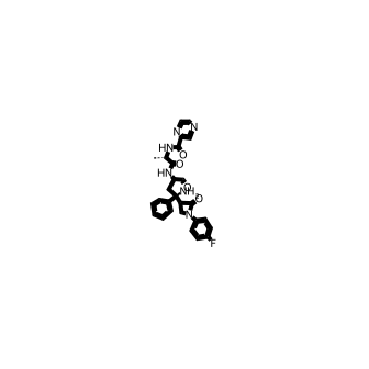 C[C@H](NC(=O)c1cnccn1)C(=O)NC(C=O)C[C@@](N)(c1ccccc1)C1CN(c2ccc(F)cc2)C1=O